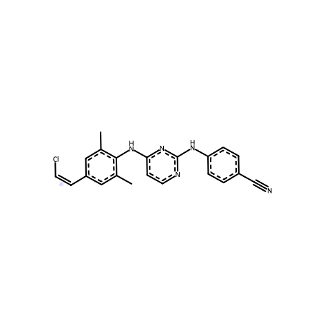 Cc1cc(/C=C\Cl)cc(C)c1Nc1ccnc(Nc2ccc(C#N)cc2)n1